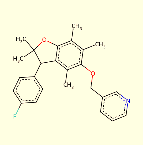 Cc1c(C)c2c(c(C)c1OCc1cccnc1)C(c1ccc(F)cc1)C(C)(C)O2